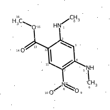 CNc1cc(NC)c([N+](=O)[O-])cc1C(=O)OC